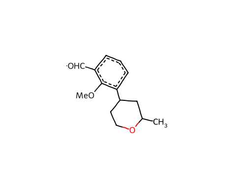 COc1c([C]=O)cccc1C1CCOC(C)C1